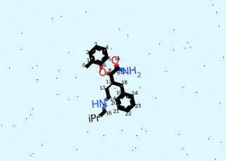 Cc1ccccc1OC(C(N)=O)[C@H](CCNCC(C)C)Cc1ccccc1